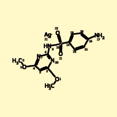 COc1cc(OC)nc(NS(=O)(=O)c2ccc(N)cc2)n1.[Ag]